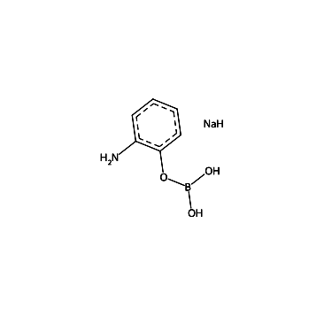 Nc1ccccc1OB(O)O.[NaH]